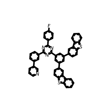 Fc1ccc(-c2nc(-c3cccc(-c4cccnc4)c3)nc(-c3cc(-c4ccc5sc6ccccc6c5c4)cc(-c4ccc5sc6ccccc6c5c4)c3)n2)cc1